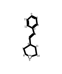 [c]1ccc(C=CC2CCOCC2)cc1